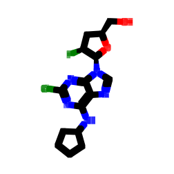 OC[C@@H]1C[C@H](F)[C@H](n2cnc3c(NC4CCCC4)nc(Cl)nc32)O1